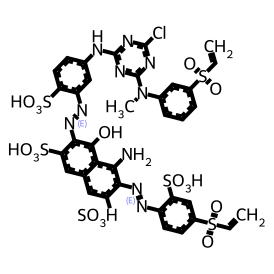 C=CS(=O)(=O)c1cccc(N(C)c2nc(Cl)nc(Nc3ccc(S(=O)(=O)O)c(/N=N/c4c(S(=O)(=O)O)cc5cc(S(=O)(=O)O)c(/N=N/c6ccc(S(=O)(=O)C=C)cc6S(=O)(=O)O)c(N)c5c4O)c3)n2)c1